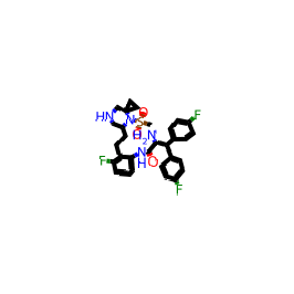 CS(=O)(=O)N1C(CCc2c(F)cccc2NC(=O)C(N)C(c2ccc(F)cc2)c2ccc(F)cc2)CNCC12CC2